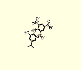 CC(C)c1ccc(Nc2c([N+](=O)[O-])cc([N+](=O)[O-])cc2[N+](=O)[O-])c(O)c1